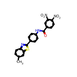 Cc1ccc2nc(-c3ccc(NC(=O)c4ccc([N+](=O)[O-])c([N+](=O)[O-])c4)cc3)sc2c1